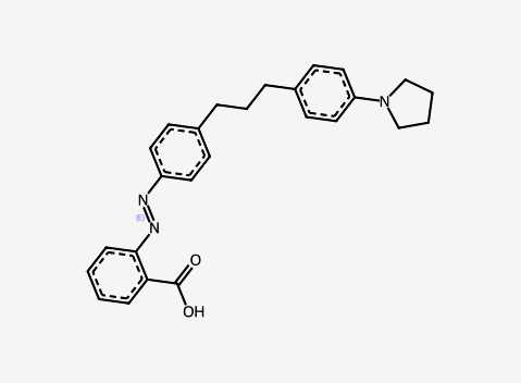 O=C(O)c1ccccc1/N=N/c1ccc(CCCc2ccc(N3CCCC3)cc2)cc1